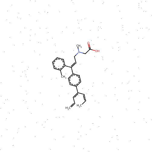 C=C/C=C(\C=C/C)c1ccc(/C(=C/CN(C)CC(=O)O)c2ccccc2C)cc1